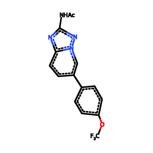 CC(=O)Nc1nc2ccc(-c3ccc(OC(F)(F)F)cc3)cn2n1